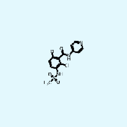 CS(=O)(=O)Nc1ccc(Cl)c(C(=O)Nc2ccncc2)c1Cl